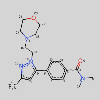 CN(C)C(=O)c1ccc(-c2cc(C(F)(F)F)nn2CCN2CCOCC2)cc1